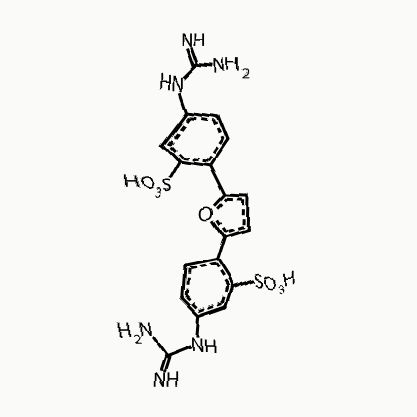 N=C(N)Nc1ccc(-c2ccc(-c3ccc(NC(=N)N)cc3S(=O)(=O)O)o2)c(S(=O)(=O)O)c1